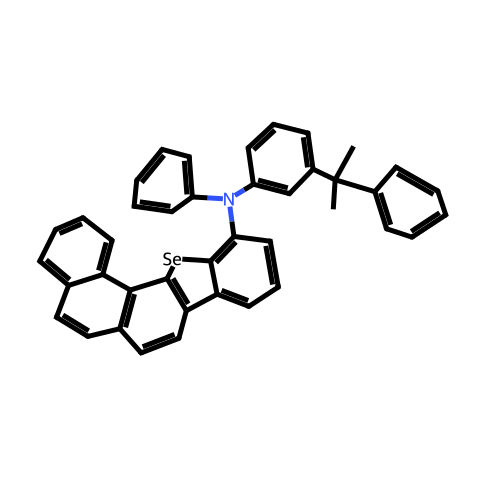 CC(C)(c1ccccc1)c1cccc(N(c2ccccc2)c2cccc3c2[se]c2c3ccc3ccc4ccccc4c32)c1